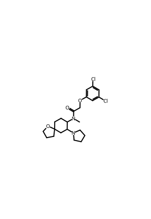 CN(C(=O)COc1cc(Cl)cc(Cl)c1)C1CCC2(CCCO2)CC1N1CCCC1